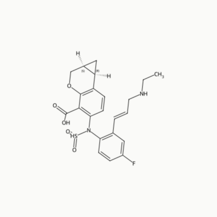 CCNCC=Cc1cc(F)ccc1N(c1ccc2c(c1C(=O)O)OC[C@H]1C[C@@H]21)[SH](=O)=O